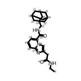 CCNC(=O)Cc1cn2c(C(=O)NCC34CC5CC(CC(C5)C3)C4)cccc2n1